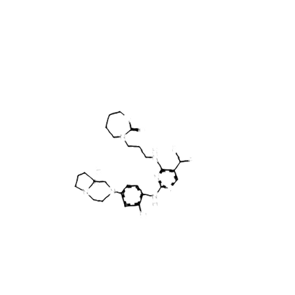 CCc1cc(N2CCN3CCC[C@H]3C2)ccc1Nc1ncc(C(F)F)c(NCCCN2CCCCOC2=O)n1